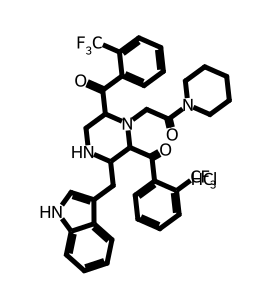 Cl.O=C(c1ccccc1C(F)(F)F)C1CNC(Cc2c[nH]c3ccccc23)C(C(=O)c2ccccc2C(F)(F)F)N1CC(=O)N1CCCCC1